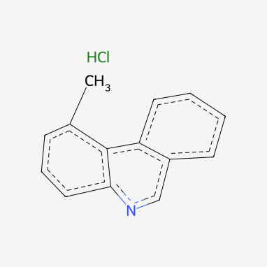 Cc1cccc2ncc3ccccc3c12.Cl